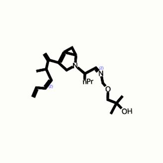 C=C/C=C\C(C)C(=C)C1=C2CC2N(C(/C=N\COCC(C)(C)O)CCC)C1